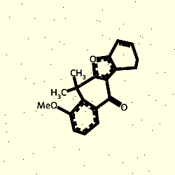 COc1cccc2c1C(C)(C)c1oc3c(c1C2=O)CCC=C3